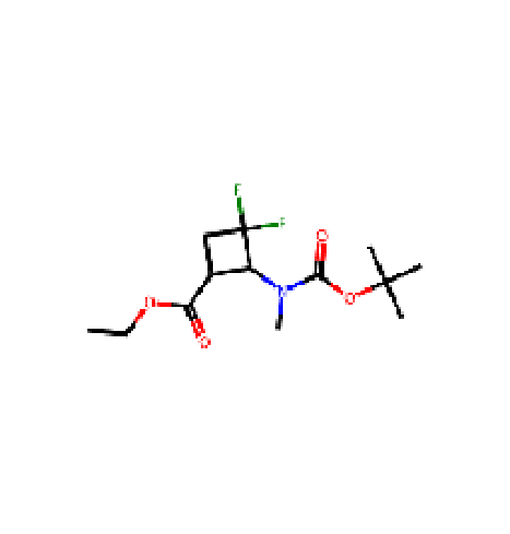 CCOC(=O)C1CC(F)(F)C1N(C)C(=O)OC(C)(C)C